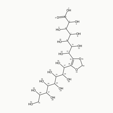 O=C(O)C(O)C(O)C(O)C(O)C(O)C(O)C1=C(C(O)C(O)C(O)C(O)C(O)C(O)C(O)CO)OCO1